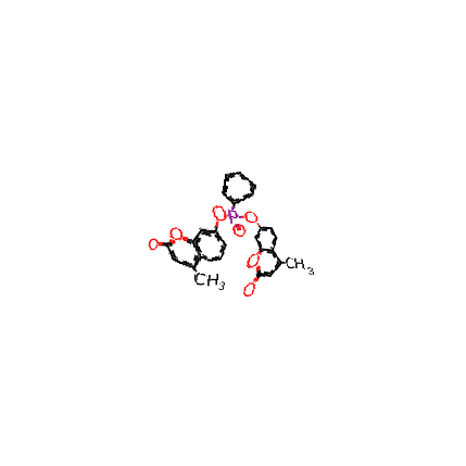 Cc1cc(=O)oc2cc(OP(=O)(Oc3ccc4c(C)cc(=O)oc4c3)c3ccccc3)ccc12